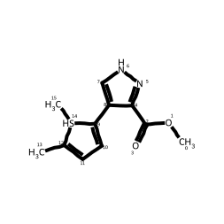 COC(=O)c1n[nH]cc1C1=CC=C(C)[SH]1C